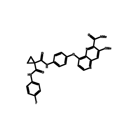 CNC(=O)c1nc2c(Oc3ccc(NC(=O)C4(C(=O)Nc5ccc(F)cc5)CC4)cc3)ccnc2cc1OC